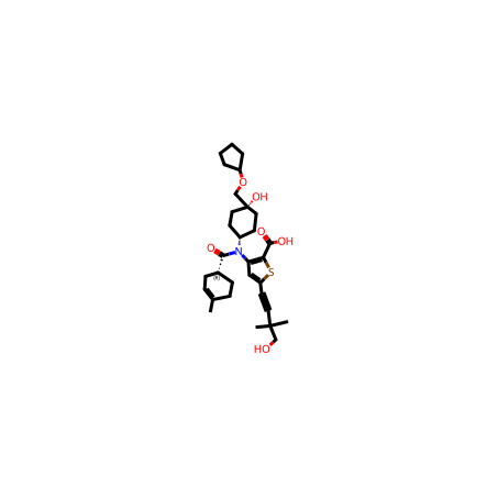 CC1=CC[C@H](C(=O)N(c2cc(C#CC(C)(C)CO)sc2C(=O)O)[C@H]2CC[C@](O)(COC3CCCC3)CC2)CC1